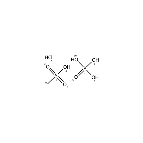 CS(=O)(=O)O.Cl.O=P(O)(O)O